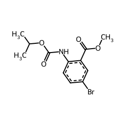 COC(=O)c1cc(Br)ccc1NC(=O)OC(C)C